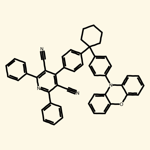 N#Cc1c(-c2ccccc2)nc(-c2ccccc2)c(C#N)c1-c1ccc(C2(c3ccc(N4c5ccccc5Oc5ccccc54)cc3)CCCCC2)cc1